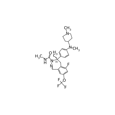 CNC(=O)N1N=Cc2cc(OC(F)(F)F)cc(F)c2C[C@@]1(C)c1ccc(N(C)C2CCN(C)CC2)cc1